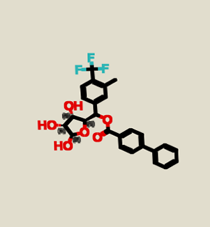 Cc1cc(C(OC(=O)c2ccc(-c3ccccc3)cc2)[C@H]2O[C@@H](O)[C@H](O)[C@@H]2O)ccc1C(F)(F)F